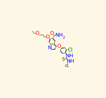 CCOCCCOc1cc2nccc(Oc3ccc(NC(=S)NC4CC4)c(Cl)c3)c2cc1C(N)=O